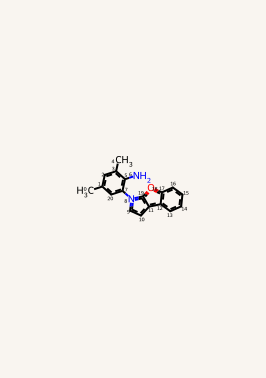 Cc1cc(C)c(N)c(-n2ccc3c4ccccc4oc32)c1